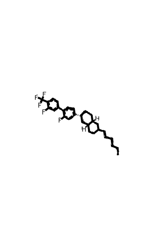 CCCCCCC1CC[C@@H]2C[C@H](c3ccc(-c4ccc(C(F)(F)F)c(F)c4)c(F)c3)CC[C@@H]2C1